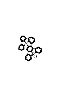 O=P(c1ccccc1)(c1ccccc1)c1ccc(S(c2ccccc2)(c2ccccc2)c2ccccc2)cc1